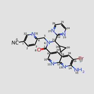 N#Cc1ccc(CN(C(=O)c2cnc3nc(N)c(Br)cc3c2)[C@@H](c2ncccn2)C2CC2)nc1